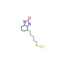 O=C1N=c2cccc(CCCCCCS)c2=N1